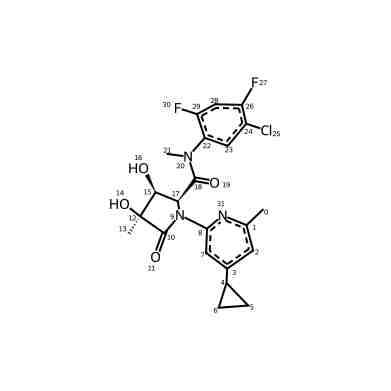 Cc1cc(C2CC2)cc(N2C(=O)[C@@](C)(O)[C@@H](O)[C@H]2C(=O)N(C)c2cc(Cl)c(F)cc2F)n1